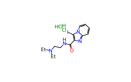 CCN(CC)CCNC(=O)c1nc2ccccn2c1I.Cl.Cl